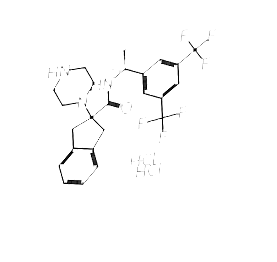 C[C@H](NC(=O)C1(N2CCNCC2)Cc2ccccc2C1)c1cc(C(F)(F)F)cc(C(F)(F)F)c1.Cl.Cl